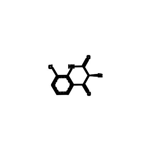 CC[C@@H]1C(=O)Nc2c(Cl)cccc2C1=O